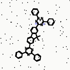 CC1(C)c2cc(C(/N=C(\N)C3=CC=CCC3)=N/Cc3ccccc3)ccc2-c2ccc(-c3nc(-c4ccccc4)nc(-c4ccccc4)n3)cc21